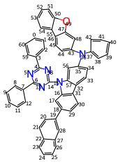 c1ccc(-c2nc(-c3ccccc3)nc(-n3c4cc(-c5ccc6ccccc6c5)ccc4c4ccc(N(c5ccccc5)c5ccc6c(c5)oc5ccccc56)cc43)n2)cc1